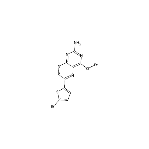 CCOc1nc(N)nc2ncc(-c3ccc(Br)s3)nc12